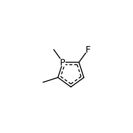 Cc1ccc(F)p1C